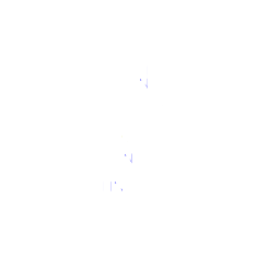 C1=CONN=C1.C1CSCCN1